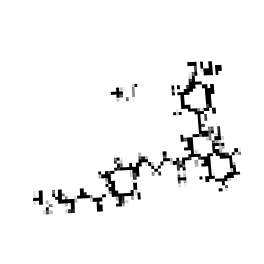 COc1ccc(-c2cc(NCCCN3CCN(CCCN)CC3)c3ccccc3n2)cc1.Cl